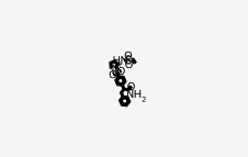 C=CS(=O)(=O)NC[C@H]1CCCN1S(=O)(=O)c1ccc(C(Cc2ccccc2)C(N)=O)cc1